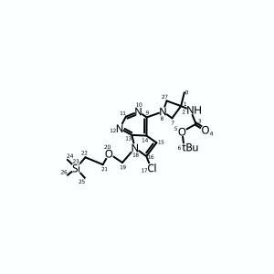 CC1(NC(=O)OC(C)(C)C)CN(c2ncnc3c2cc(Cl)n3COCC[Si](C)(C)C)C1